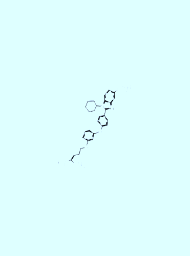 CC(C)=CCCOc1cccc(Oc2ccc(-c3nc4cc(C(=O)O)ccc4n3C3CCCCC3)cc2)c1